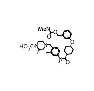 CNC(=O)OCc1cccc(O[C@H]2CC[C@H](C(=O)N(C)c3ccc(CN4CCN(C(=O)O)[C@@H](C)C4)c(C)c3)CC2)c1